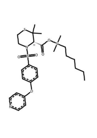 CCCCCC[Si](C)(C)OC(=O)[C@@H]1N(S(=O)(=O)c2ccc(Oc3ccncc3)cc2)CCSC1(C)C